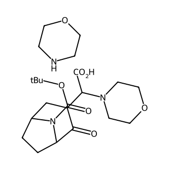 C1COCCN1.CC(C)(C)OC(=O)N1C2CCC1C(=O)C(C(C(=O)O)N1CCOCC1)C2